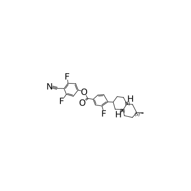 C[C@H]1CC[C@@H]2CC(c3ccc(C(=O)Oc4cc(F)c(C#N)c(F)c4)cc3F)CC[C@H]2C1